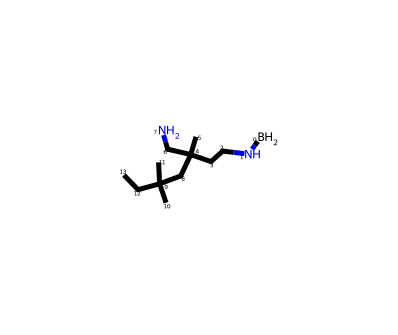 BNCCC(C)(CN)CC(C)(C)CC